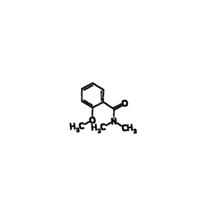 COc1ccccc1C(=O)N(C)C